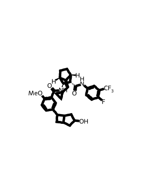 COc1ccc(C2CC3CC(O)CC32)cc1C(=O)N[C@H]1[C@@H](C(=O)Nc2ccc(F)c(C(F)(F)F)c2)[C@H]2CC[C@@H]1/C2=C\C1CC1